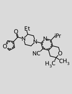 CCC1CN(c2nc(C(C)C)c3c(c2C#N)CC(C)(C)OC3)CCN1C(=O)c1ccoc1